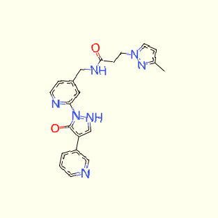 Cc1ccn(CCC(=O)NCc2ccnc(-n3[nH]cc(-c4cccnc4)c3=O)c2)n1